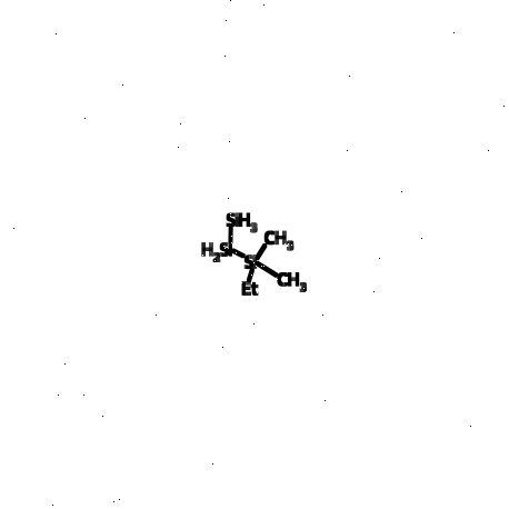 CC[Si](C)(C)[SiH2][SiH3]